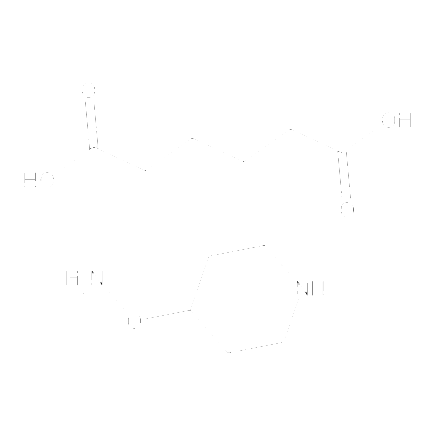 NOC1CCNCC1.O=C(O)CCCCC(=O)O